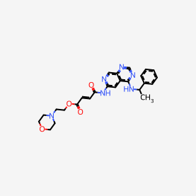 CC(Nc1ncnc2cnc(NC(=O)C=CC(=O)OCCN3CCOCC3)cc12)c1ccccc1